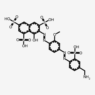 COc1cc(N=Nc2ccc(CN)cc2S(=O)(=O)O)ccc1N=Nc1c(S(=O)(=O)O)cc2cc(S(=O)(=O)O)cc(S(=O)(=O)O)c2c1O